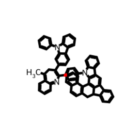 CC1=c2ccccc2=NC(c2ccc(-n3c4ccccc4c4cc5c6c(c43)-c3c(ccc4ccccc34)CC6c3ccccc3-5)cc2)=C(c2ccc3c4ccccc4n(-c4ccccc4)c3c2)C1